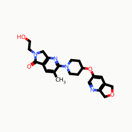 Cc1cc2c(nc1N1CCC(Oc3cnc4c(c3)COC4)CC1)CN(CCO)C2=O